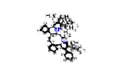 C=C1CC2C(CCc3ccccc3-c3cc(-c4ccccc4)c([Si](C)(C)C)c[n+]31)c1ccccc1-c1cc(C(C)C)c([Si](C)(C)C)c[n+]12